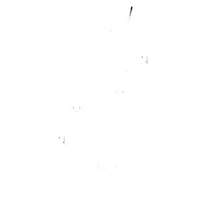 Cc1ccc(C(CCC(=O)N(C)Cc2ccccc2)CC(=O)O)cc1CN1C[C@H](C)Oc2ccccc2S1(=O)=O